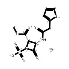 COC(=O)[C@@H]1[C@H](NC(=O)Cc2cccs2)C(=O)N1S(=O)(=O)[O-].[Na+]